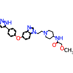 COCC(=O)NC1CCN(CCn2cnc3cc(Oc4ccc(-c5ccn[nH]5)cc4)ccc32)CC1